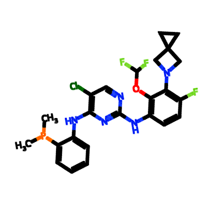 CP(C)c1ccccc1Nc1nc(Nc2ccc(F)c(N3CC4(CC4)C3)c2OC(F)F)ncc1Cl